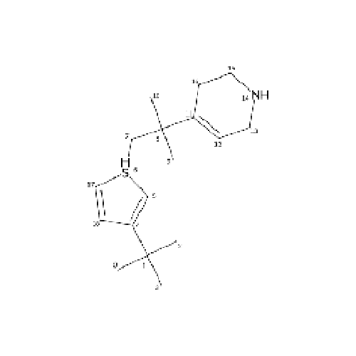 CC(C)(C)C1=C[SH](CC(C)(C)C2=CCNCC2)C=C1